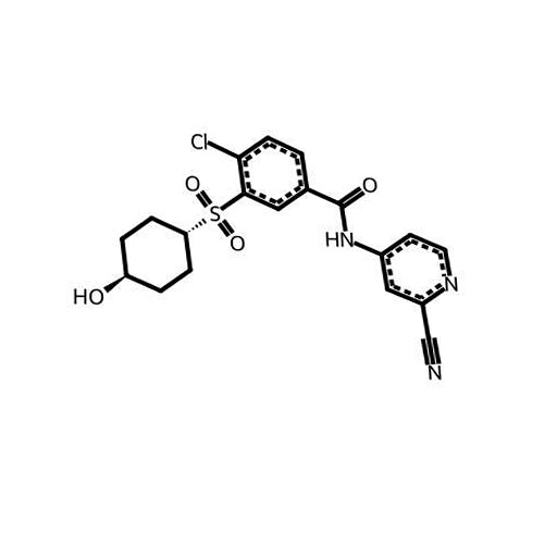 N#Cc1cc(NC(=O)c2ccc(Cl)c(S(=O)(=O)[C@H]3CC[C@H](O)CC3)c2)ccn1